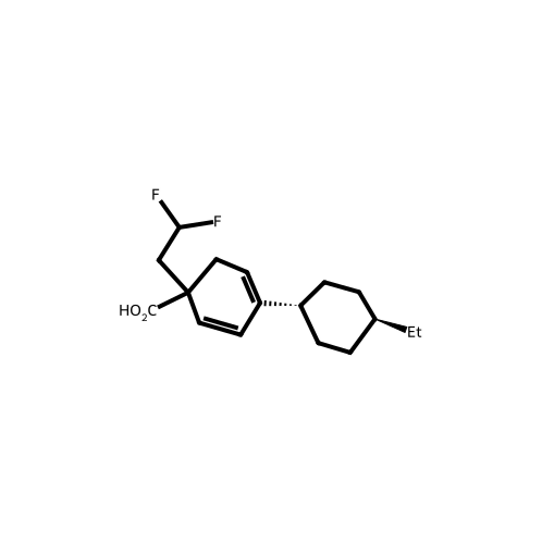 CC[C@H]1CC[C@H](C2=CCC(CC(F)F)(C(=O)O)C=C2)CC1